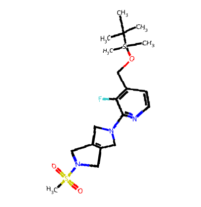 CC(C)(C)[Si](C)(C)OCc1ccnc(N2CC3=C(C2)CN(S(C)(=O)=O)C3)c1F